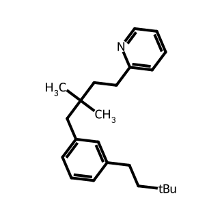 CC(C)(C)CCc1cccc(CC(C)(C)CCc2ccccn2)c1